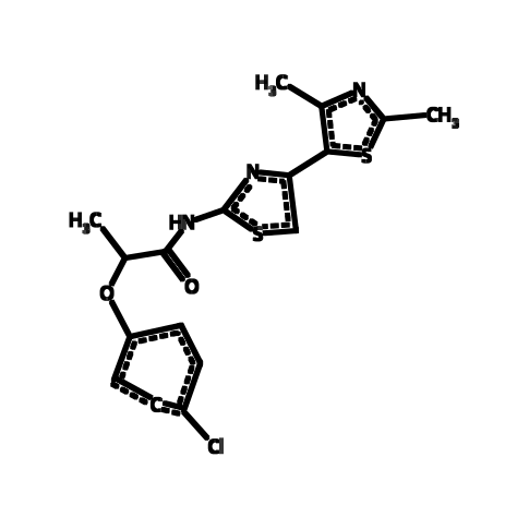 Cc1nc(C)c(-c2csc(NC(=O)C(C)Oc3ccc(Cl)cc3)n2)s1